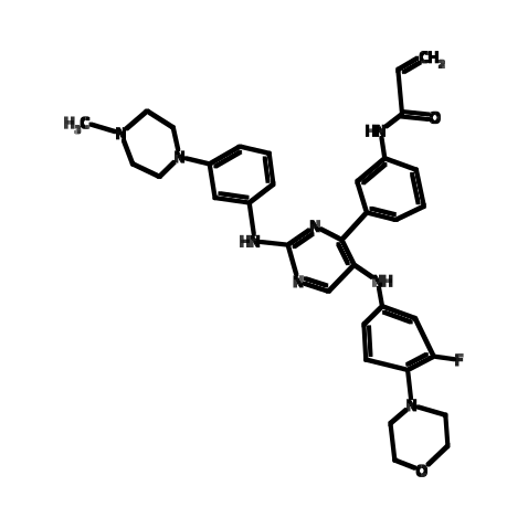 C=CC(=O)Nc1cccc(-c2nc(Nc3cccc(N4CCN(C)CC4)c3)ncc2Nc2ccc(N3CCOCC3)c(F)c2)c1